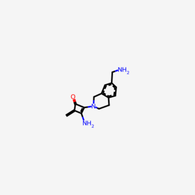 C=C1C(=O)C(N2CCc3ccc(CN)cc3C2)=C1N